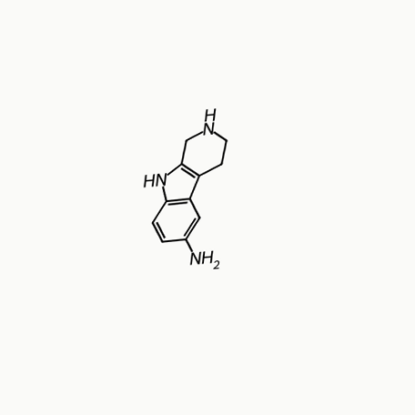 Nc1ccc2[nH]c3c(c2c1)CCNC3